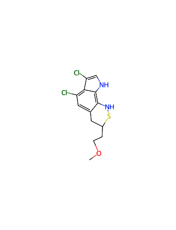 COCCC1Cc2cc(Cl)c3c(Cl)c[nH]c3c2NS1